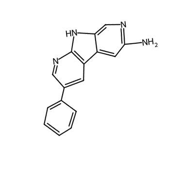 Nc1cc2c(cn1)[nH]c1ncc(-c3ccccc3)cc12